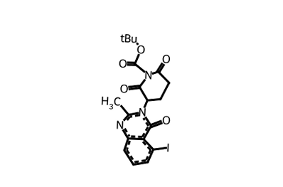 Cc1nc2cccc(I)c2c(=O)n1C1CCC(=O)N(C(=O)OC(C)(C)C)C1=O